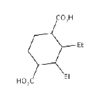 CCC1C(C(=O)O)CCC(C(=O)O)C1CC